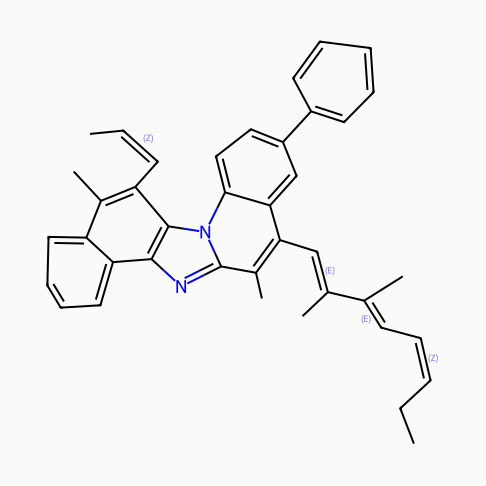 C/C=C\c1c(C)c2ccccc2c2nc3c(C)c(/C=C(C)/C(C)=C/C=C\CC)c4cc(-c5ccccc5)ccc4n3c12